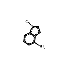 Nc1cccc2c1ccn2Cl